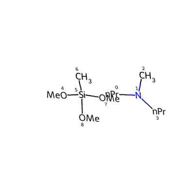 CCCN(C)CCC.CO[Si](C)(OC)OC